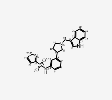 O=S(=O)(Nc1cccc(C2CCN(Cc3c[nH]c4ccccc34)C2)c1)c1ccsn1